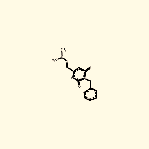 CN(C)N=Cc1cc(=O)n(Cc2ccccc2)c(=O)[nH]1